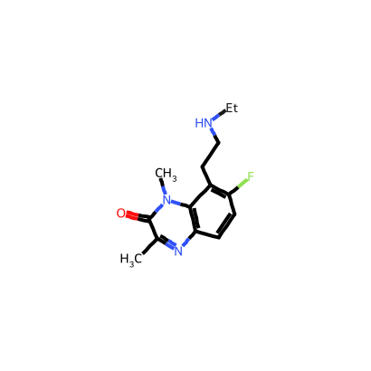 CCNCCc1c(F)ccc2nc(C)c(=O)n(C)c12